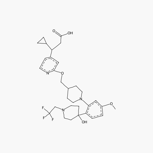 COc1ccc(C2(O)CCN(CC(F)(F)F)CC2)c(N2CCC(COc3cc(C(CC(=O)O)C4CC4)ccn3)CC2)c1